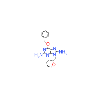 Nc1nc(OCc2ccccc2)c2nc(N)n(CC3CCCCO3)c2n1